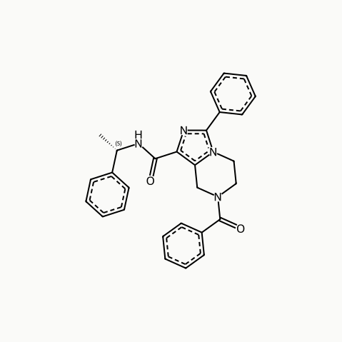 C[C@H](NC(=O)c1nc(-c2ccccc2)n2c1CN(C(=O)c1ccccc1)CC2)c1ccccc1